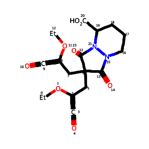 CCOC(=C=O)CC1(CC(=C=O)OCC)C(=O)N2CCCC(C(=O)O)N2C1=O